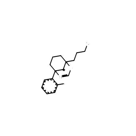 NCCCC12CCCC(c3ccccc3Cl)(N=CO1)C2=O